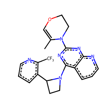 CC1=COCCN1c1nc(N2CCC2c2cccnc2C(F)(F)F)c2cccnc2n1